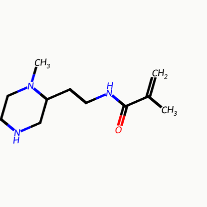 C=C(C)C(=O)NCCC1CNCCN1C